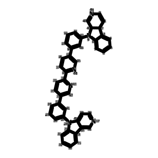 C1=CC2c3ccccc3N(c3cccc(-c4ccc(-c5ccc(-c6cccc(-n7c8ccccc8c8cnccc87)c6)cn5)nc4)c3)C2C=N1